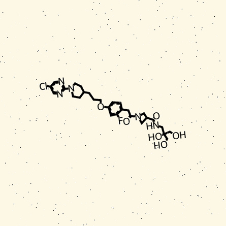 O=C(NCC(O)(CO)CO)C1CN(C(=O)Cc2ccc(OCCCC3CCN(c4ncc(Cl)cn4)CC3)cc2F)C1